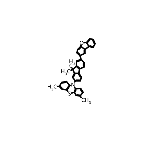 Cc1ccc2c(c1)Sc1cc(C)ccc1N2c1ccc2c(c1)C(C)(C)c1cc(-c3ccc4oc5ccccc5c4c3)ccc1-2